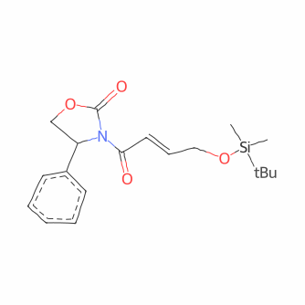 CC(C)(C)[Si](C)(C)OCC=CC(=O)N1C(=O)OCC1c1ccccc1